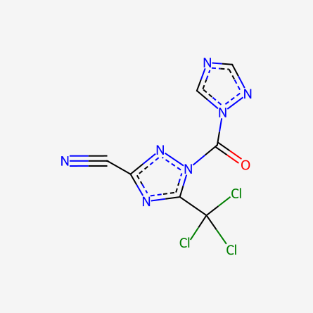 N#Cc1nc(C(Cl)(Cl)Cl)n(C(=O)n2cncn2)n1